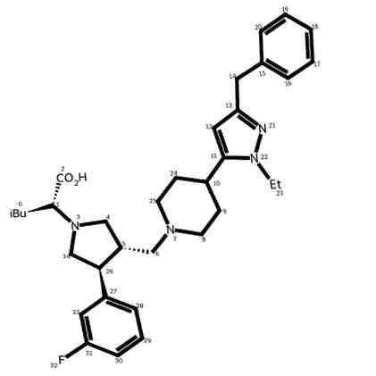 CC[C@H](C)[C@H](C(=O)O)N1C[C@H](CN2CCC(c3cc(Cc4ccccc4)nn3CC)CC2)[C@@H](c2cccc(F)c2)C1